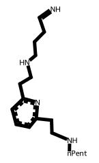 CCCCCNCCc1cccc(CCNCCCC=N)n1